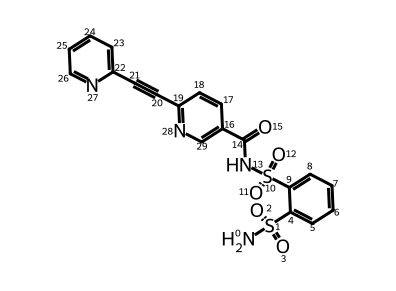 NS(=O)(=O)c1ccccc1S(=O)(=O)NC(=O)c1ccc(C#Cc2ccccn2)nc1